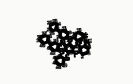 Fc1cccc(C(F)(F)F)c1N1c2ccccc2B2c3ccc(-c4ccccc4)cc3N3c4cc(-c5ccccc5)ccc4B4c5ccccc5Sc5cc1c2c3c54